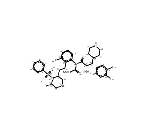 COC(=O)N(C(=O)[C@@H](N)[C@@H](c1ccc(F)c(F)c1)C1CCOCC1)c1cccc(F)c1CC[C@H]1CNC[C@@H](C)N1S(=O)(=O)c1ccccc1